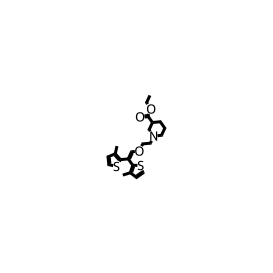 CCOC(=O)C1CCCN(CCOC=C(c2sccc2C)c2sccc2C)C1